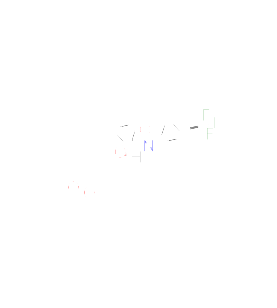 [2H]C(c1ccccc1OCCCCCC(=O)O)N(C)C(=O)c1ccc(C#CC(F)(F)F)cc1